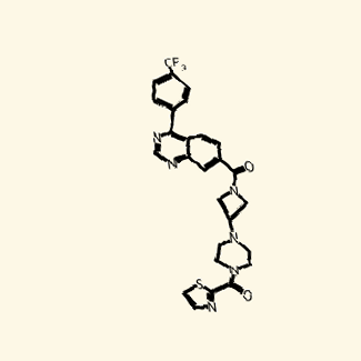 O=C(c1ccc2c(-c3ccc(C(F)(F)F)cc3)ncnc2c1)N1CC(N2CCN(C(=O)c3nccs3)CC2)C1